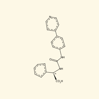 O=C(Nc1ccc(-c2ccncc2)cc1)N[C@@H](C(=O)O)c1ccccc1